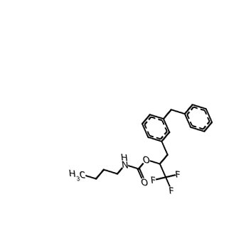 CCCCNC(=O)OC(Cc1cccc(Cc2ccccc2)c1)C(F)(F)F